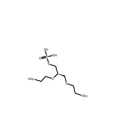 CCCCCCCCCCCCOC[C@H](COP(=O)(O)O)OCCCCCCCCCCCC